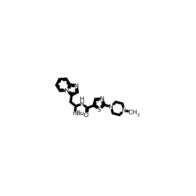 CCCCC(Cc1cnc2ccccn12)NC(=O)c1cnc(N2CCN(C)CC2)s1